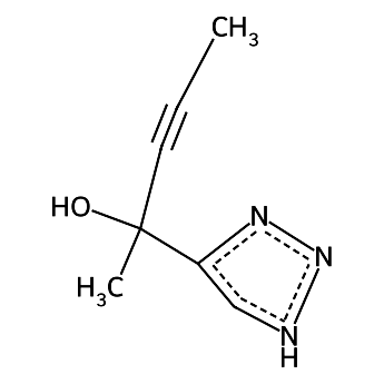 CC#CC(C)(O)c1c[nH]nn1